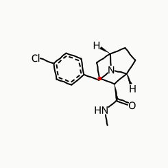 CNC(=O)[C@H]1CC[C@@H]2CC[C@H]1N2Cc1ccc(Cl)cc1